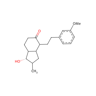 COc1cccc(CCC2C(=O)CCC3C2CC(C)[C@@H]3O)c1